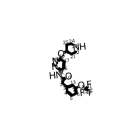 O=C(Cc1cccc(OC(F)(F)F)c1)Nc1ccc(OC2CCNCC2)nn1